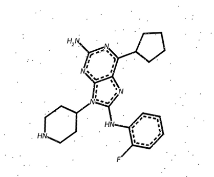 Nc1nc(C2CCCC2)c2nc(Nc3ccccc3F)n(C3CCNCC3)c2n1